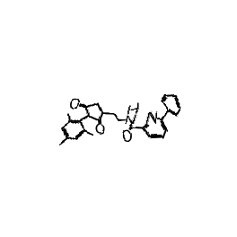 Cc1cc(C)c(C2C(=O)CC(CCNC(=O)c3cccc(-c4ccccc4)n3)C2=O)c(C)c1